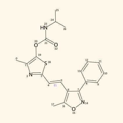 Cc1nc(/C=C/c2c(-c3ccccc3)noc2C)sc1OC(=O)NC(C)C